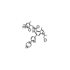 COCC(C)n1cc(C)c2c(C(=O)NCc3c(C)cc(C)[nH]c3=O)cc(-c3ccc(N4CCN(C)CC4)nc3)cc21